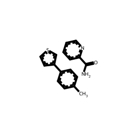 Cc1ccc(-c2ccsc2)cc1.NC(=O)c1ccccn1